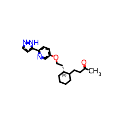 CC(=O)CCC1CCCC[C@@H]1CCOc1ccc(-c2ccn[nH]2)nc1